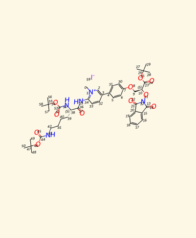 C[n+]1cc(-c2ccc(OC[C@H](ON3C(=O)c4ccccc4C3=O)C(=O)OC(C)(C)C)cc2)ccc1NC(=O)[C@H](CCCCNC(=O)OC(C)(C)C)NC(=O)OC(C)(C)C.[I-]